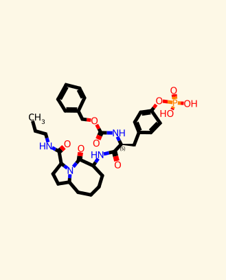 CCCNC(=O)C1CCC2CCCCC(NC(=O)[C@H](Cc3ccc(OP(=O)(O)O)cc3)NC(=O)OCc3ccccc3)C(=O)N21